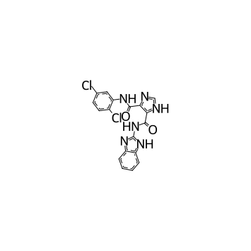 O=C(Nc1cc(Cl)ccc1Cl)c1nc[nH]c1C(=O)Nc1nc2ccccc2[nH]1